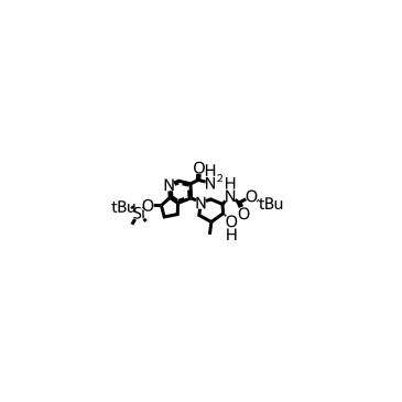 CC1CN(c2c(C(N)=O)cnc3c2CCC3O[Si](C)(C)C(C)(C)C)CC(NC(=O)OC(C)(C)C)[C@@H]1O